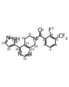 O=C(c1cccc(C(F)(F)F)c1F)N1CCc2c(ncnc2-c2ccn[nH]2)C1